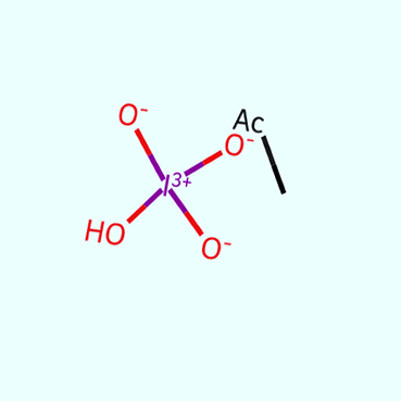 CC(C)=O.[O-][I+3]([O-])([O-])O